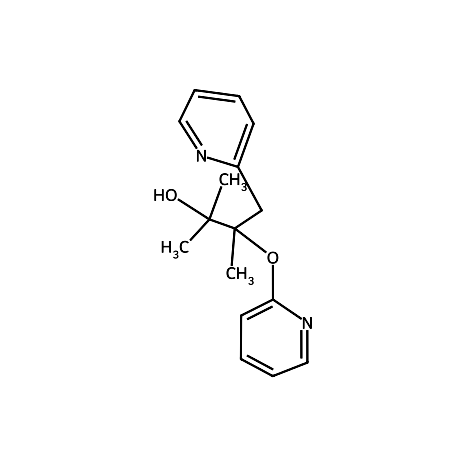 CC(C)(O)C(C)(Cc1ccccn1)Oc1ccccn1